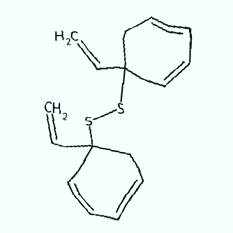 C=CC1(SSC2(C=C)C=CC=CC2)C=CC=CC1